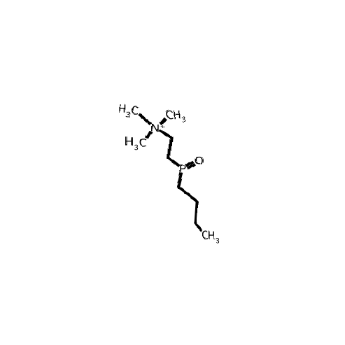 CCCC[P](=O)CC[N+](C)(C)C